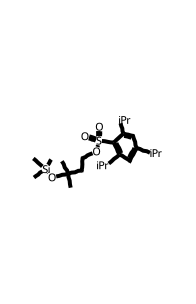 CC(C)c1cc(C(C)C)c(S(=O)(=O)OCCC(C)(C)O[Si](C)(C)C)c(C(C)C)c1